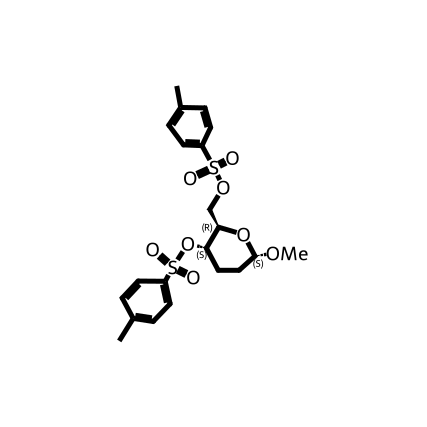 CO[C@@H]1CC[C@H](OS(=O)(=O)c2ccc(C)cc2)[C@@H](COS(=O)(=O)c2ccc(C)cc2)O1